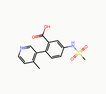 Cc1ccncc1-c1ccc(NS(C)(=O)=O)cc1C(=O)O